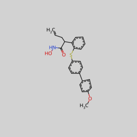 C=CCC(C(=O)NO)c1ccccc1Sc1ccc(-c2ccc(OC)cc2)cc1